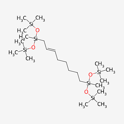 C[Si](C)(C)O[Si](C)(CC=CCCCCC[Si](C)(O[Si](C)(C)C)O[Si](C)(C)C)O[Si](C)(C)C